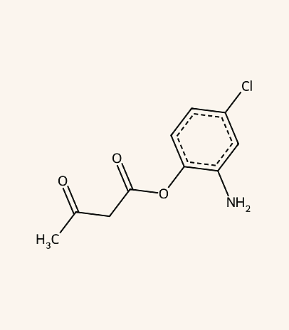 CC(=O)CC(=O)Oc1ccc(Cl)cc1N